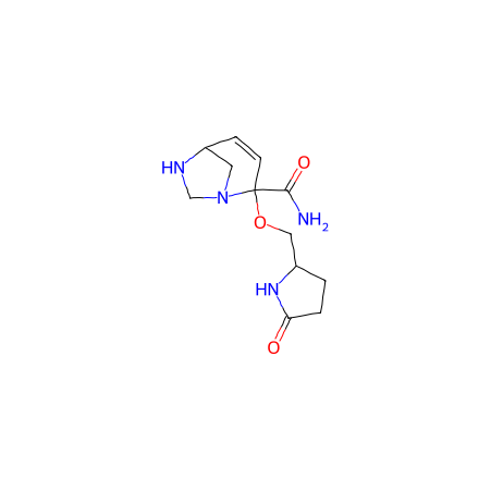 NC(=O)C1(OCC2CCC(=O)N2)C=CC2CN1CN2